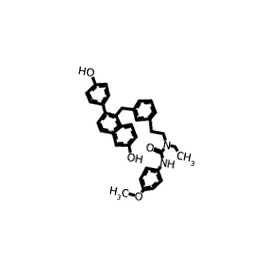 CCN(CCc1cccc(Cc2c(-c3ccc(O)cc3)ccc3cc(O)ccc23)c1)C(=O)Nc1ccc(OC)cc1